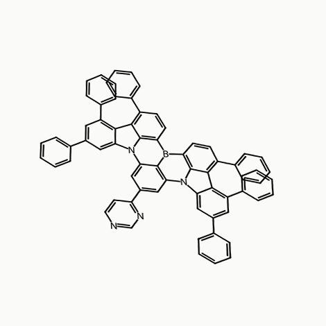 c1ccc(-c2cc(-c3ccccc3)c3c4c(-c5ccccc5)ccc5c4n(c3c2)-c2cc(-c3ccncn3)cc3c2B5c2ccc(-c4ccccc4)c4c5c(-c6ccccc6)cc(-c6ccccc6)cc5n-3c24)cc1